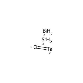 [BiH3].[O]=[Ta].[SrH2]